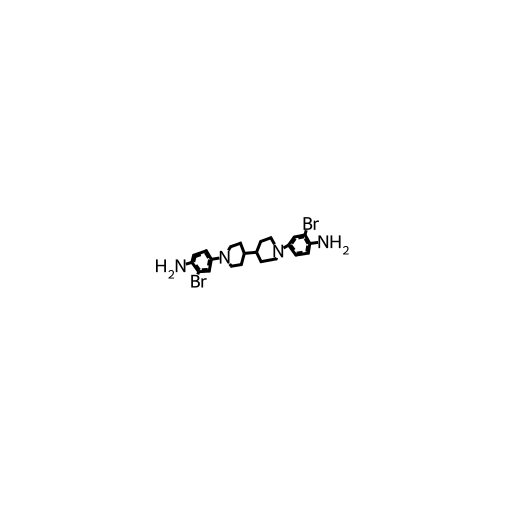 Nc1ccc(N2CCC(C3CCN(c4ccc(N)c(Br)c4)CC3)CC2)cc1Br